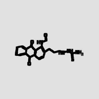 NC(=S)NNCCCc1ccc2c(c1NC=O)C(=O)c1ccccc1C2=O